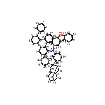 c1ccc(-c2ccccc2-c2ccccc2-c2ccccc2N(c2ccc3oc4ccccc4c3c2)c2cccc3c2-c2ccccc2C32CC3CCC4CC3CC2C4)cc1